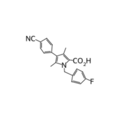 Cc1c(-c2ccc(C#N)cc2)c(C)n(Cc2ccc(F)cc2)c1C(=O)O